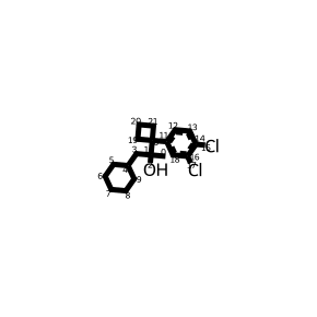 CC(O)(CC1CCCCC1)C1(c2ccc(Cl)c(Cl)c2)CCC1